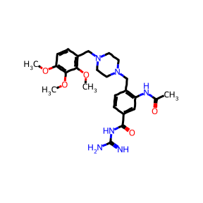 COc1ccc(CN2CCN(Cc3ccc(C(=O)NC(=N)N)cc3NC(C)=O)CC2)c(OC)c1OC